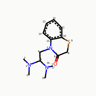 CN(C)C(CN1C(=O)CSc2ccccc21)N(C)C